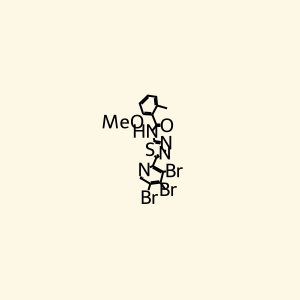 COc1cccc(C)c1C(=O)Nc1nnc(-c2ncc(Br)c(Br)c2Br)s1